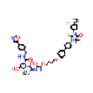 CC(C)(C)[C@H](NC(=O)COCCCCOc1ccc(-c2ccc(N3C(=S)N(c4ccc(C#N)c(F)c4)C(=O)C3(C)C)cc2)cc1)C(=O)N1C[C@H](O)C[C@H]1C(=O)NCc1ccc(-c2cnco2)cc1